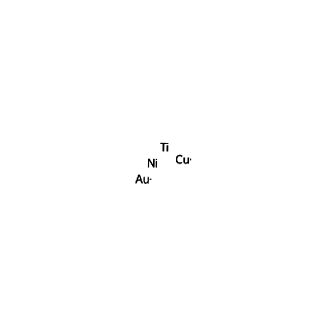 [Au].[Cu].[Ni].[Ti]